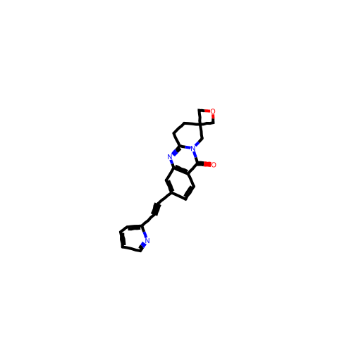 O=c1c2ccc(C#Cc3ccccn3)cc2nc2n1CC1(CC2)COC1